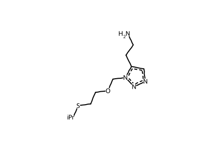 CC(C)SCCOCn1nncc1CCN